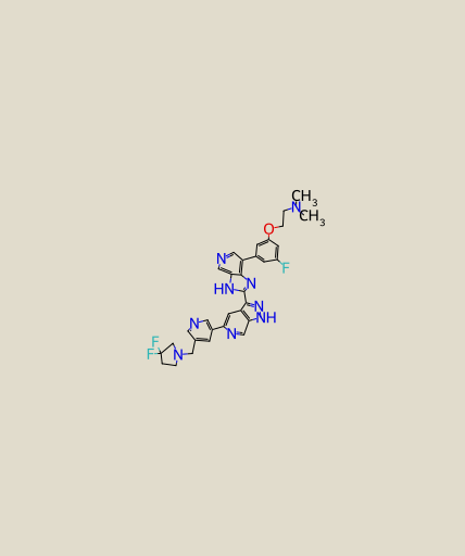 CN(C)CCOc1cc(F)cc(-c2cncc3[nH]c(-c4n[nH]c5cnc(-c6cncc(CN7CCC(F)(F)C7)c6)cc45)nc23)c1